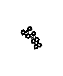 c1ccc(-n2c3ccccc3c3ccc4c(c5ccccc5n4-c4ccc5c6cccc7cccc(c8cccc4c85)c76)c32)cc1